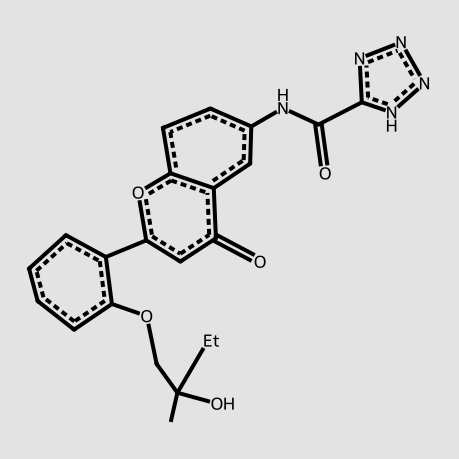 CCC(C)(O)COc1ccccc1-c1cc(=O)c2cc(NC(=O)c3nnn[nH]3)ccc2o1